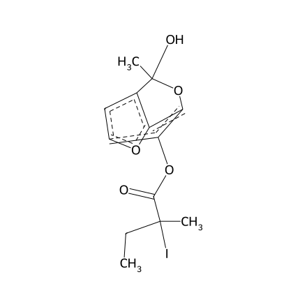 CCC(C)(I)C(=O)Oc1c2c3oc1cc3C(C)(O)O2